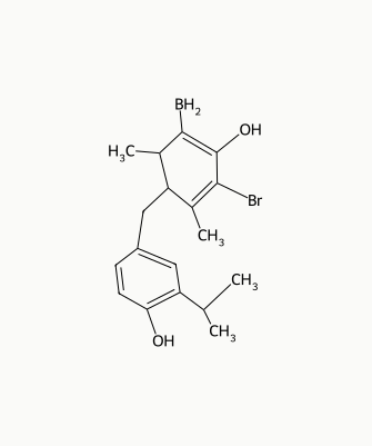 BC1=C(O)C(Br)=C(C)C(Cc2ccc(O)c(C(C)C)c2)C1C